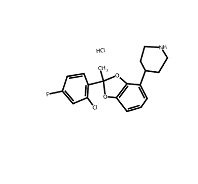 CC1(c2ccc(F)cc2Cl)Oc2cccc(C3CCNCC3)c2O1.Cl